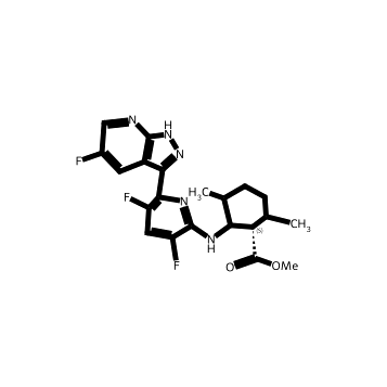 COC(=O)[C@H]1C(C)CCC(C)C1Nc1nc(-c2n[nH]c3ncc(F)cc23)c(F)cc1F